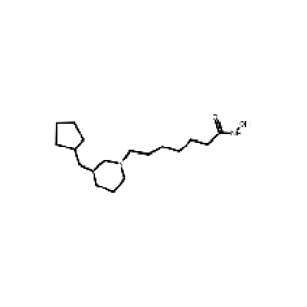 O=C(CCCCCCN1CCCC(CC2CCCC2)C1)NO